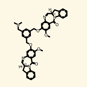 COc1cc2c(cc1OCc1cc(COc3cc4c(cc3OC)C(=O)N3c5ccccc5C[C@H]3C=N4)cc(CN(C)C)c1)N=C[C@@H]1Cc3ccccc3N1C2=O